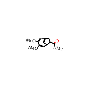 CNC(=O)C1CC2=CC1C=C(OC)C(OC)=C2